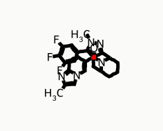 Cc1cn2cc(C(=O)N3C4CCCC3c3nn(C)c(-c5cc(F)c(F)c(F)c5)c3C4)ccc2n1